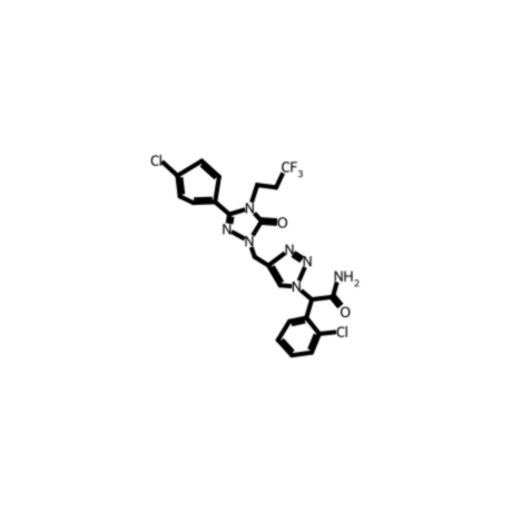 NC(=O)C(c1ccccc1Cl)n1cc(Cn2nc(-c3ccc(Cl)cc3)n(CCC(F)(F)F)c2=O)nn1